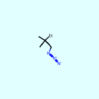 CCC(C)(C)CN=[N+]=[N-]